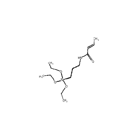 CC=CC(=O)NCCC[Si](OCC)(OCC)OCC